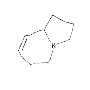 C1=CC2CCCN2CC1